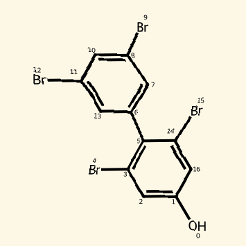 Oc1cc(Br)c(-c2cc(Br)cc(Br)c2)c(Br)c1